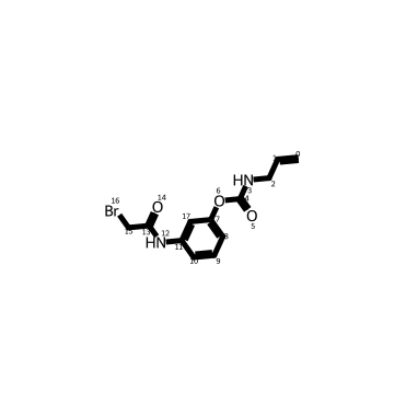 C=CCNC(=O)Oc1cccc(NC(=O)CBr)c1